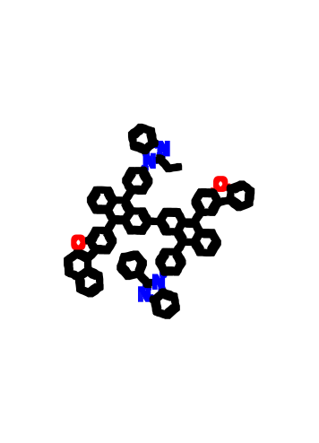 CCc1nc2ccccc2n1-c1ccc(-c2c3ccccc3c(-c3ccc4c(c3)oc3ccc5ccccc5c34)c3ccc(-c4ccc5c(-c6ccc7oc8ccccc8c7c6)c6ccccc6c(-c6ccc(-n7c(-c8ccccc8)nc8ccccc87)cc6)c5c4)cc23)cc1